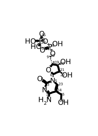 Nc1nc(=O)n([C@@H]2O[C@H](COP(=O)(O)OP(=O)(O)O)[C@@H](O)[C@H]2O)cc1CO